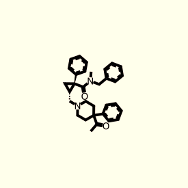 CC(=O)C1(c2ccccc2)CCN(C[C@@H]2C[C@@]2(C(=O)N(C)Cc2ccccc2)c2ccccc2)CC1